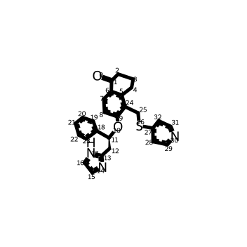 O=C1CCCc2c1ccc(O[C@@H](Cc1ncc[nH]1)c1ccccc1)c2CSc1ccncc1